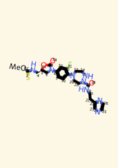 COC(=S)NC[C@H]1CN(c2ccc(N3CCNN(C(=O)NCCc4cnccn4)CC3)c(F)c2)C(=O)O1